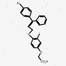 CCc1ccc(C(=CCSc2ccc(OCC(=O)O)cc2I)c2ccccc2)cc1